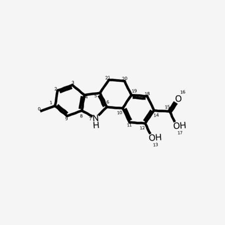 Cc1ccc2c3c([nH]c2c1)-c1cc(O)c(C(=O)O)cc1CC3